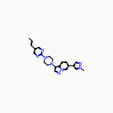 CC=Cc1cnc(N2CCN(c3cnn4cc(-c5cnn(C)c5)ccc34)CC2)nc1